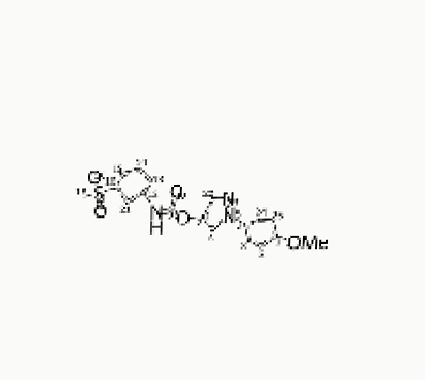 COc1ccc(-n2cc(OC(=O)Nc3cccc(S(C)(=O)=O)c3)cn2)cc1